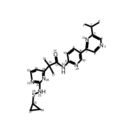 CC(C)c1cncc(-c2ccc(NC(=O)C(C)(C)c3ccnc(NSC4CC4)n3)nc2)n1